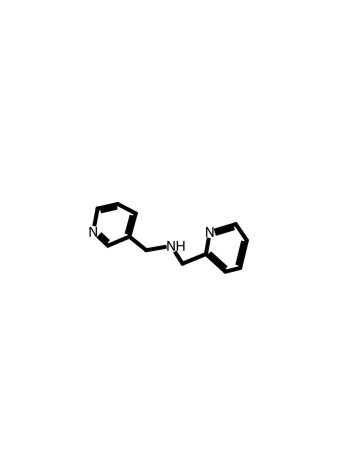 c1ccc(CNCc2cccnc2)nc1